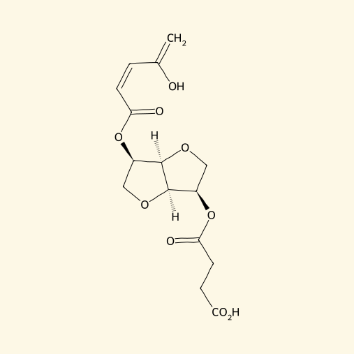 C=C(O)/C=C\C(=O)O[C@@H]1CO[C@H]2[C@@H]1OC[C@H]2OC(=O)CCC(=O)O